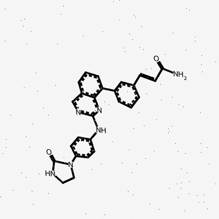 NC(=O)C=Cc1cccc(-c2cccc3cnc(Nc4ccc(N5CCNC5=O)cc4)nc23)c1